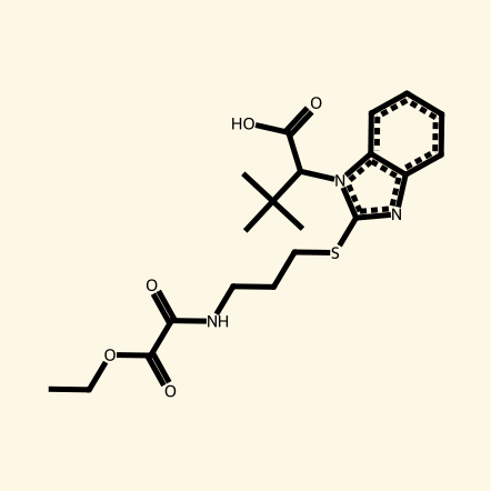 CCOC(=O)C(=O)NCCCSc1nc2ccccc2n1C(C(=O)O)C(C)(C)C